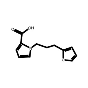 O=C(O)c1cccn1CCCc1ccco1